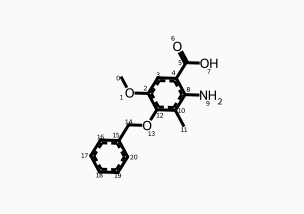 COc1cc(C(=O)O)c(N)c(C)c1OCc1ccccc1